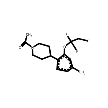 CC(=O)N1CCC(c2ccc(C)cc2OC(F)(F)CF)CC1